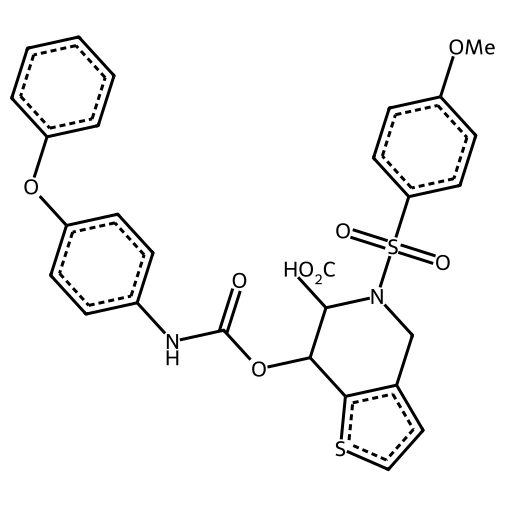 COc1ccc(S(=O)(=O)N2Cc3ccsc3C(OC(=O)Nc3ccc(Oc4ccccc4)cc3)C2C(=O)O)cc1